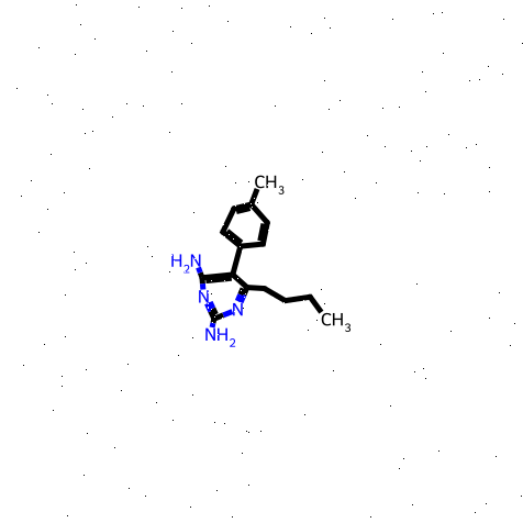 CCCCc1nc(N)nc(N)c1-c1ccc(C)cc1